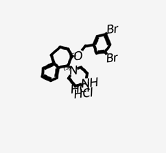 Brc1cc(Br)cc(CO[C@H]2CCCc3ccccc3[C@@H]2N2CCNCC2)c1.Cl.Cl